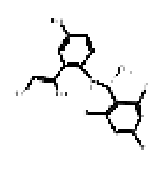 C/C=C(\O)c1cc(O)ccc1N[C@H](C)c1c(F)cc(F)cc1F